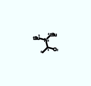 CC([O])N(C(C)(C)C)C(C)(C)C